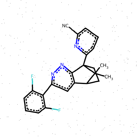 CC1(C)C2CCC1(c1cccc(C#N)n1)c1nnc(-c3c(F)cccc3F)cc12